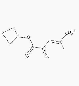 C=C(C=C(C)C(=O)O)C(=O)OC1CCC1